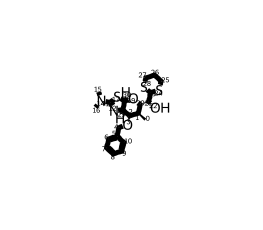 C[C@H]1[C@H](OCc2ccccc2)[C@H]2N=C(N(C)C)S[C@H]2O[C@@H]1C(O)C1SCCCS1